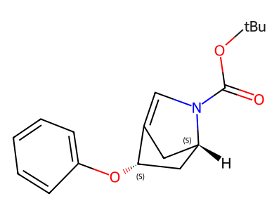 CC(C)(C)OC(=O)N1C=C2C[C@H]1C[C@@H]2Oc1ccccc1